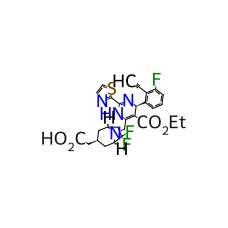 C#Cc1c(F)cccc1[C@@H]1N=C(c2nccs2)NC(CN2[C@@H]3C[C@H](CC(=O)O)C[C@H]2C(F)(F)C3)=C1C(=O)OCC